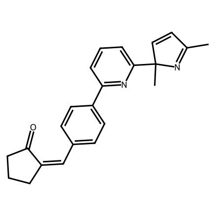 CC1=NC(C)(c2cccc(-c3ccc(C=C4CCCC4=O)cc3)n2)C=C1